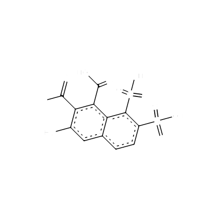 O=C(O)c1c(O)[c]c2ccc(S(=O)(=O)O)c(S(=O)(=O)O)c2c1C(=O)O